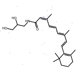 CC(C=CC1=C(C)CCCC1(C)C)=CC=C/C(C)=C\C(=O)NCC(O)CO